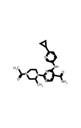 CC(=O)N1CCN(c2ncc(C(N)=O)c(Nc3ccc(C4CC4)nc3)n2)C(C)C1